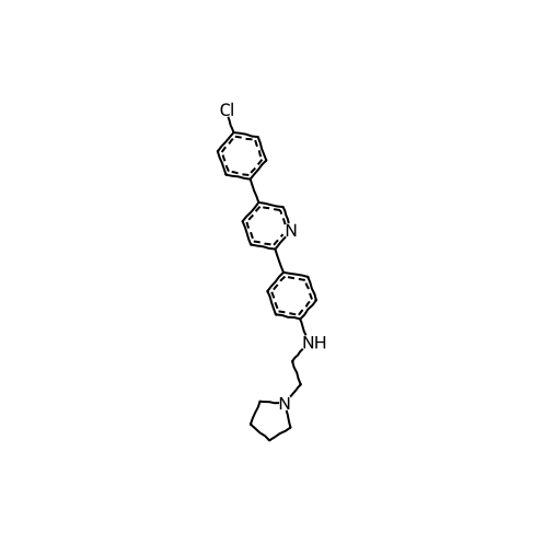 Clc1ccc(-c2ccc(-c3ccc(NCCN4CCCC4)cc3)nc2)cc1